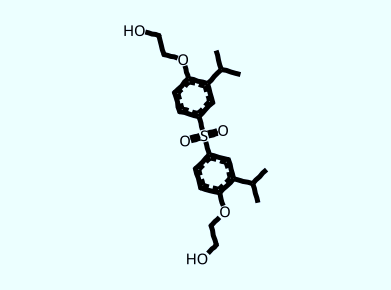 CC(C)c1cc(S(=O)(=O)c2ccc(OCCO)c(C(C)C)c2)ccc1OCCO